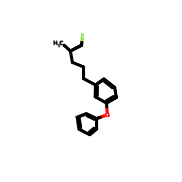 CC(CF)CCCc1cccc(Oc2ccccc2)c1